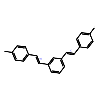 Ic1ccc(/C=C/c2cccc(/C=C/c3ccc(I)cc3)c2)cc1